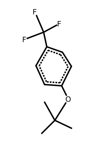 CC(C)(C)Oc1ccc(C(F)(F)F)cc1